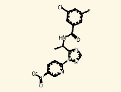 CC(NC(=O)c1cc(F)cc(Cl)c1)c1ncnn1-c1ccc([N+](=O)[O-])cn1